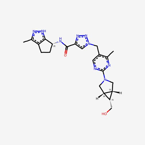 Cc1nc(N2C[C@@H]3[C@H](CO)[C@@H]3C2)ncc1Cn1cc(C(=O)N[C@@H]2CCc3c(C)n[nH]c32)nn1